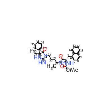 COC(=O)N[C@@H](Cc1cccc2ccccc12)C(=O)N[C@@H](C)CCCN1C(=N)N[C@](CC(C)C)(c2ccccc2)C1=O